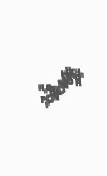 COC[C@H]1c2sc(NC(=O)N[C@H](C)CO)nc2CCN1c1nc2cc(F)c(F)cc2o1